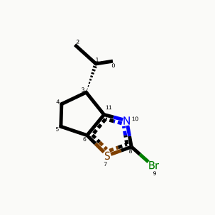 CC(C)[C@H]1CCc2sc(Br)nc21